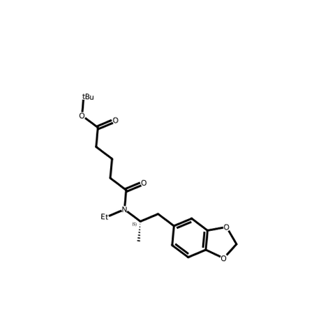 CCN(C(=O)CCCC(=O)OC(C)(C)C)[C@@H](C)Cc1ccc2c(c1)OCO2